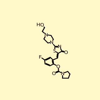 O=C1N=C(N2CCN(CCO)CC2)S/C1=C\c1cc(F)ccc1OC(=O)N1CCCC1